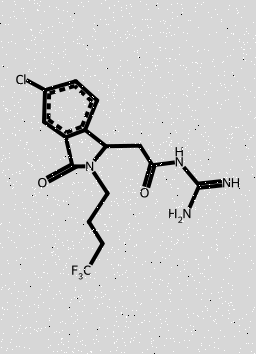 N=C(N)NC(=O)CC1c2ccc(Cl)cc2C(=O)N1CCCC(F)(F)F